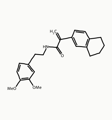 C=C(C(=O)NCCc1ccc(OC)c(OC)c1)c1ccc2c(c1)CCCC2